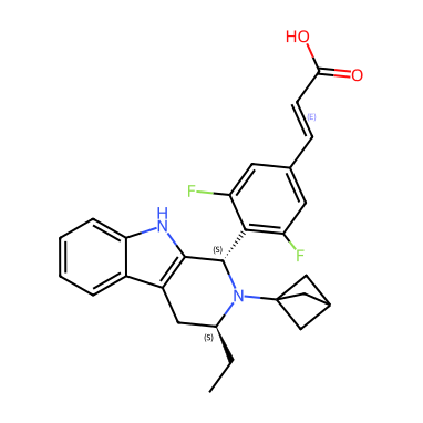 CC[C@H]1Cc2c([nH]c3ccccc23)[C@H](c2c(F)cc(/C=C/C(=O)O)cc2F)N1C12CC(C1)C2